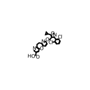 O=C(O)c1cnc2c(c1)Oc1ccc(OCc3c(-c4c(Cl)cccc4Cl)noc3C3CC3)nc1CC2